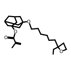 C=C(C)C(=O)OC12CC3CC(CC(OCCCCCCC4(CC)CCO4)(C3)C1)C2